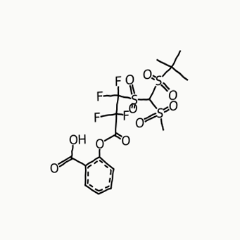 CC(C)(C)S(=O)(=O)C(S(C)(=O)=O)S(=O)(=O)C(F)(F)C(F)(F)C(=O)Oc1ccccc1C(=O)O